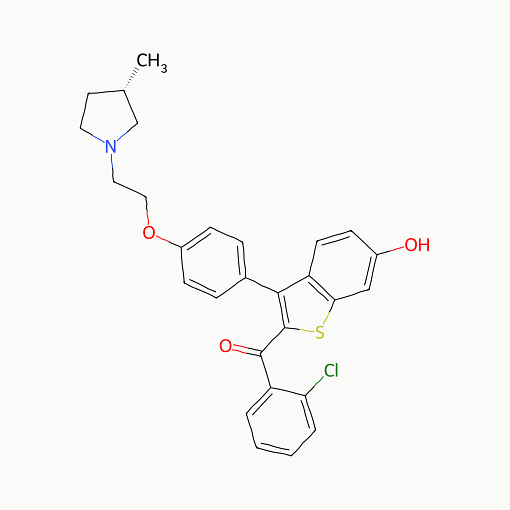 C[C@H]1CCN(CCOc2ccc(-c3c(C(=O)c4ccccc4Cl)sc4cc(O)ccc34)cc2)C1